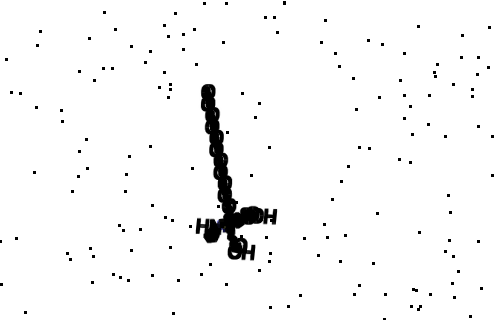 COCCOCCOCCOCCOCCOCCOCCOCCOCCOCCOCCC1(C)C(/C=C/Nc2ccccc2)=[N+](CCCCCC(=O)O)c2ccc(SOOO)cc21